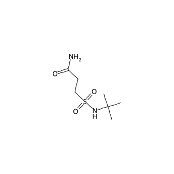 CC(C)(C)NS(=O)(=O)CCC(N)=O